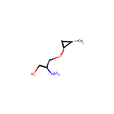 C[C@H]1C[C@@H]1OCC(N)CO